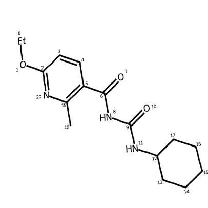 CCOc1ccc(C(=O)NC(=O)NC2CCCCC2)c(C)n1